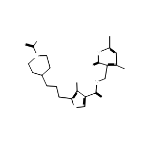 Cc1cc(C)c(CNC(=O)c2csc(CCCC3CCN(C(=O)O)CC3)c2C)c(=O)[nH]1